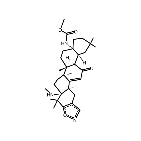 CN[C@@]12CC[C@]3(C)C(=CC(=O)[C@@H]4[C@@H]5CC(C)(C)CC[C@]5(NC(=O)OC)CC[C@]43C)[C@@]1(C)Cc1cnoc1C2(C)C